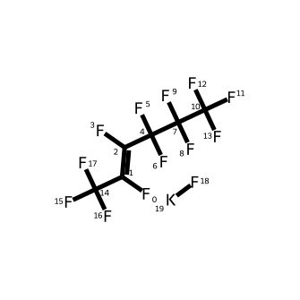 FC(=C(F)C(F)(F)C(F)(F)C(F)(F)F)C(F)(F)F.[F][K]